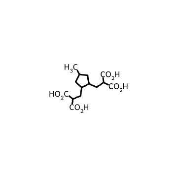 CC1CC(CC(C(=O)O)C(=O)O)C(CC(C(=O)O)C(=O)O)C1